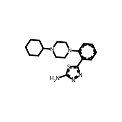 Nc1nnc(-c2ccccc2N2CCN(C3CCCCC3)CC2)s1